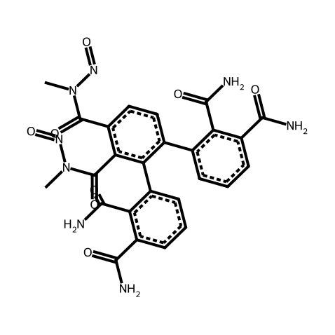 CN(N=O)C(=O)c1ccc(-c2cccc(C(N)=O)c2C(N)=O)c(-c2cccc(C(N)=O)c2C(N)=O)c1C(=O)N(C)N=O